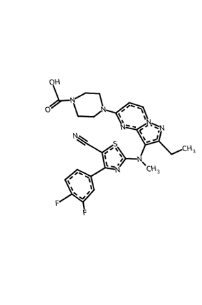 CCc1nn2ccc(N3CCN(C(=O)O)CC3)nc2c1N(C)c1nc(-c2ccc(F)c(F)c2)c(C#N)s1